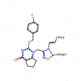 CCCCCCC=CN1C(Cn2c(SCc3ccc(F)cc3)nc(=O)c3c2CCC3)=NOC1CCCCCCC